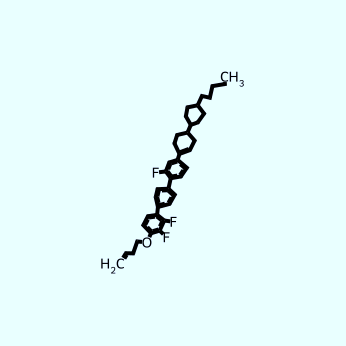 C=CCCOc1ccc(-c2ccc(-c3ccc(C4=CCC(C5CCC(CCCCC)CC5)CC4)cc3F)cc2)c(F)c1F